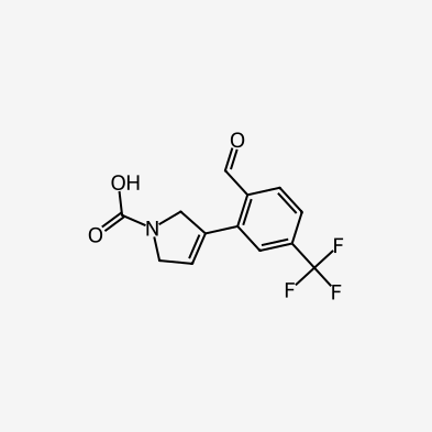 O=Cc1ccc(C(F)(F)F)cc1C1=CCN(C(=O)O)C1